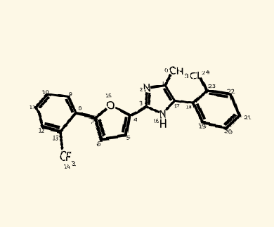 Cc1nc(-c2ccc(-c3ccccc3C(F)(F)F)o2)[nH]c1-c1ccccc1Cl